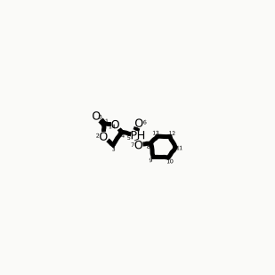 O=C1OCC([PH](=O)OC2CCCCC2)O1